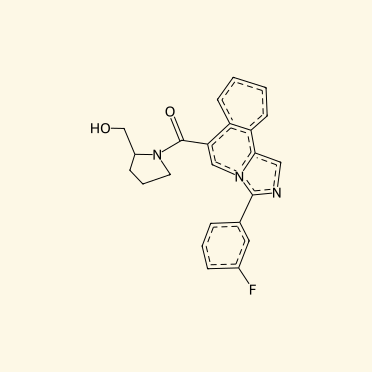 O=C(c1cn2c(-c3cccc(F)c3)ncc2c2ccccc12)N1CCCC1CO